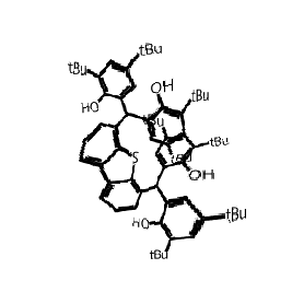 CC(C)(C)c1cc(C(c2cc(C(C)(C)C)cc(C(C)(C)C)c2O)c2cccc3c2sc2c(C(c4cc(C(C)(C)C)cc(C(C)(C)C)c4O)c4cc(C(C)(C)C)cc(C(C)(C)C)c4O)cccc23)c(O)c(C(C)(C)C)c1